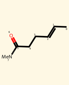 CC=CCCC(=O)NC